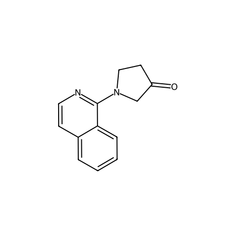 O=C1CCN(c2nccc3ccccc23)C1